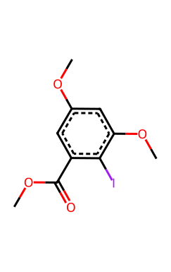 COC(=O)c1cc(OC)cc(OC)c1I